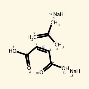 C=C(C)C.O=C(O)/C=C\C(=O)O.[NaH].[NaH]